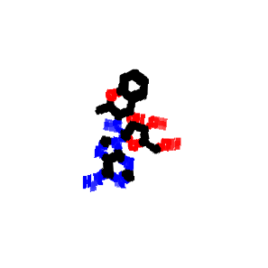 CC1Oc2ccccc2CC1N[C@@]1(n2cnc3c(N)ncnc32)O[C@H](CO)[C@@H](O)[C@H]1O